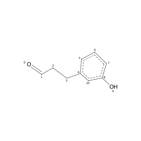 O=CCCc1cccc(O)c1